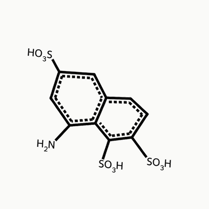 Nc1cc(S(=O)(=O)O)cc2ccc(S(=O)(=O)O)c(S(=O)(=O)O)c12